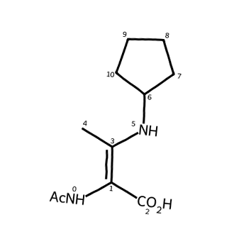 CC(=O)N/C(C(=O)O)=C(\C)NC1CCCC1